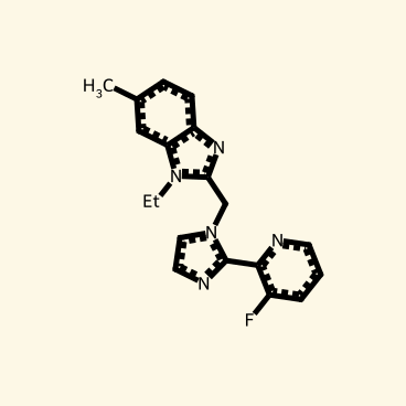 CCn1c(Cn2ccnc2-c2ncccc2F)nc2ccc(C)cc21